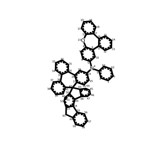 c1ccc(N(c2ccc3c(c2)-c2ccccc2-c2ccccc2O3)c2ccc3c(c2)-c2ccccc2-c2ccccc2C32c3ccccc3-c3c2ccc2c3-c3ccccc3C2)cc1